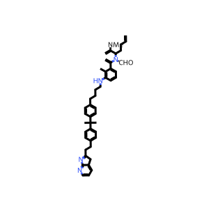 C=CCCC(C(=C)NC)N(C=O)C(=C)c1cccc(NCCCCc2ccc(C(C)(C)c3ccc(CCC4=Nc5ncccc5C4)cc3)cc2)c1C